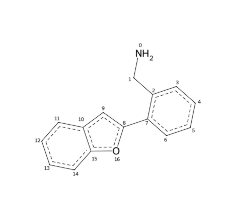 NCc1ccccc1-c1cc2ccccc2o1